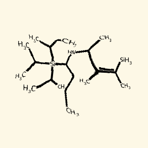 CCCC(NC(C)C(C)=C(C)[SiH3])[Si](C(C)C)(C(C)C)C(C)C